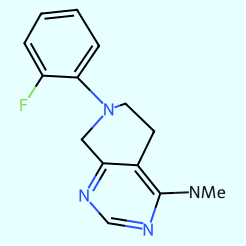 CNc1ncnc2c1CCN(c1ccccc1F)C2